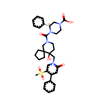 CS(=O)(=O)c1cn(CC2(O)CCN(C(=O)N3CCN(C(=O)O)C[C@H]3c3ccccc3)CC23CCCC3)c(=O)cc1-c1ccccc1